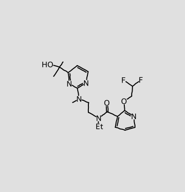 CCN(CCN(C)c1nccc(C(C)(C)O)n1)C(=O)c1cccnc1OCC(F)F